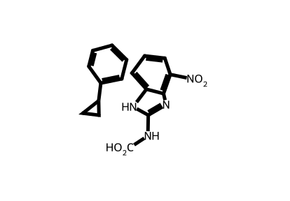 O=C(O)Nc1nc2c([N+](=O)[O-])cccc2[nH]1.c1ccc(C2CC2)cc1